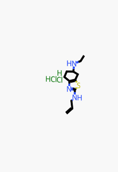 C=CCNc1nc2c(s1)CC(NCC)CC2.Cl.Cl